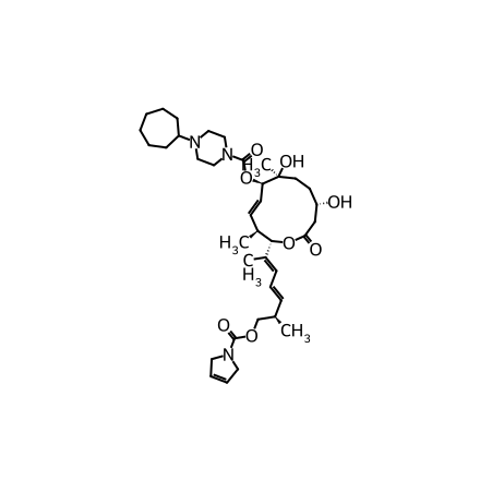 C/C(=C\C=C\[C@@H](C)COC(=O)N1CC=CC1)[C@H]1OC(=O)C[C@@H](O)CC[C@](C)(O)[C@H](OC(=O)N2CCN(C3CCCCCC3)CC2)/C=C/[C@@H]1C